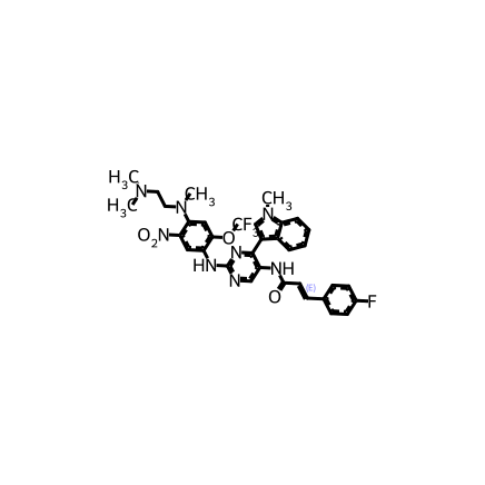 CN(C)CCN(C)c1cc(OC(F)(F)F)c(Nc2ncc(NC(=O)/C=C/c3ccc(F)cc3)c(-c3cn(C)c4ccccc34)n2)cc1[N+](=O)[O-]